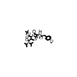 COc1ccc(CC(=O)NC2C(=O)N3C(C(=O)OC(C)(C)C)C(C(=O)N(C(C)C)C(C)C)=CS[C@H]23)cc1